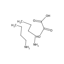 CCCCN.CCCCN.O=C(O)C(=O)O